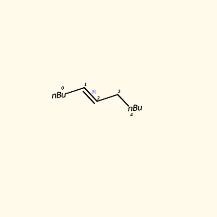 [CH2]CCC/C=C/CCCC[CH2]